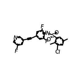 Cc1cc(Cl)c(C)c(S(=O)(=O)Nc2c(F)cc(C#Cc3cncc(F)c3)cc2F)c1